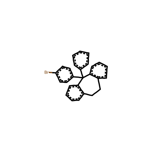 Brc1ccc(C2(c3ccccc3)c3ccccc3CCc3ccccc32)cc1